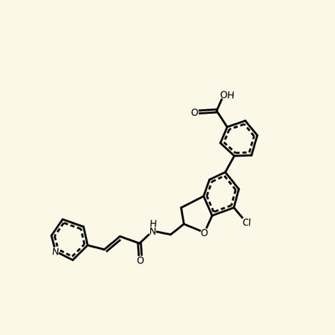 O=C(/C=C/c1cccnc1)NCC1Cc2cc(-c3cccc(C(=O)O)c3)cc(Cl)c2O1